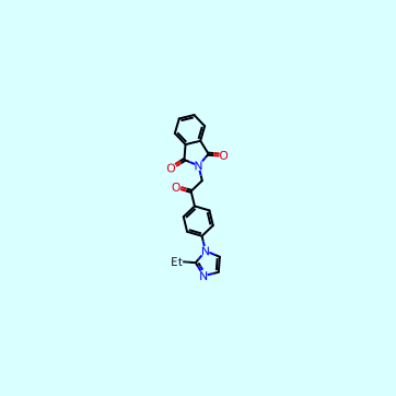 CCc1nccn1-c1ccc(C(=O)CN2C(=O)c3ccccc3C2=O)cc1